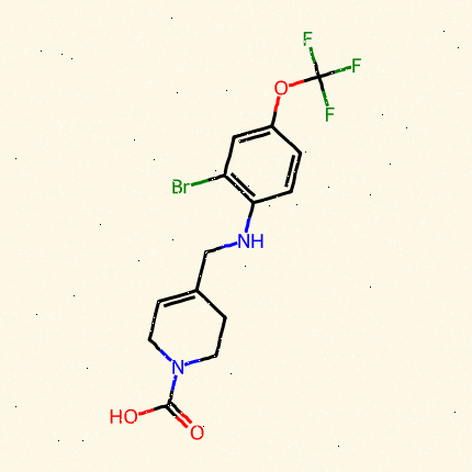 O=C(O)N1CC=C(CNc2ccc(OC(F)(F)F)cc2Br)CC1